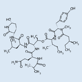 CC[C@H](C)CC(=O)N(C)[C@@H](Cc1ccc(O)cc1)C(=O)N[C@H](C(=O)O[C@H](C)[C@H](NC(=O)[C@H](CCC(N)=O)NC(=O)C(C)C)C(=O)N[C@@H](CC(C)C)C(=O)N[C@H]1CC[C@@H](O)NC1=O)[C@@H](C)CC